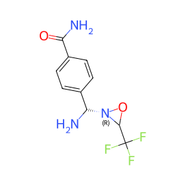 NC(=O)c1ccc(C(N)[N@]2OC2C(F)(F)F)cc1